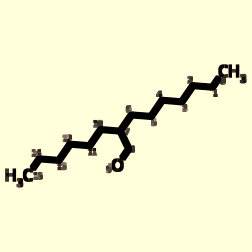 CCCCCCCC(C[O])CCCCCC